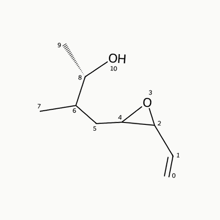 C=CC1OC1CC(C)[C@H](C)O